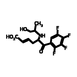 CC(CO)NC(CC=CC(=O)O)C(=O)c1cc(F)c(F)c(F)c1F